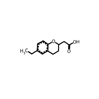 CCc1ccc2c(c1)CCC(CC(=O)O)O2